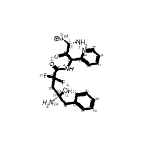 CC[C@H](C)[C@H](N)C(=O)C(NC(=O)C(F)(F)C[C@@](N)(O)Cc1ccccc1)c1ccccn1